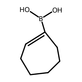 OB(O)C1=CCCCCC1